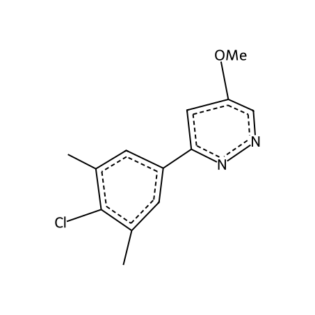 COc1cnnc(-c2cc(C)c(Cl)c(C)c2)c1